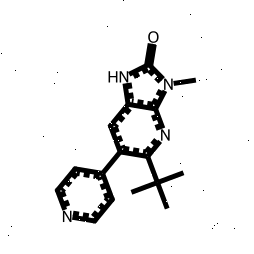 Cn1c(=O)[nH]c2cc(-c3ccncc3)c(C(C)(C)C)nc21